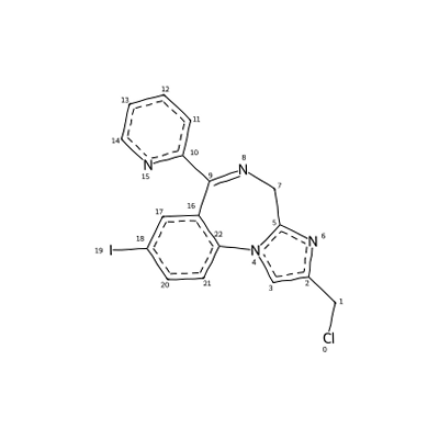 ClCc1cn2c(n1)CN=C(c1ccccn1)c1cc(I)ccc1-2